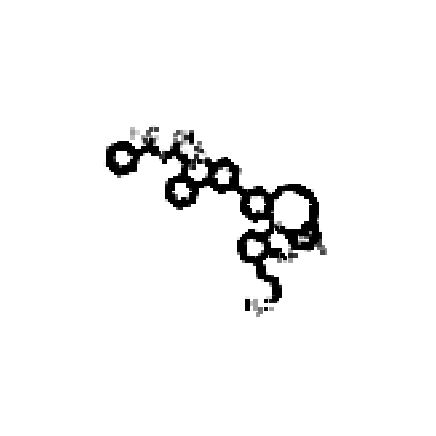 C=C(Cc1ccccc1-c1cc(-c2ccc3c(c2)C/C=C\C=c2\cccc(c2=C)N3C2=CC=C/C(=C/C=C\C)C2=N)ccc1C)/N=C(\C)c1ccccc1